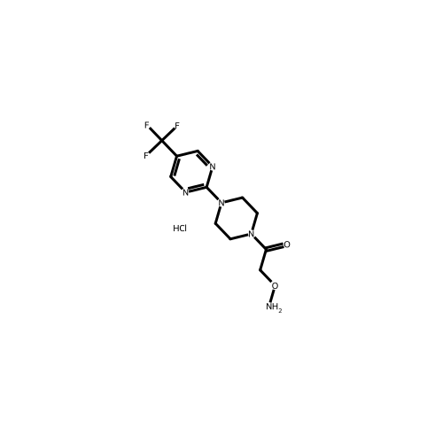 Cl.NOCC(=O)N1CCN(c2ncc(C(F)(F)F)cn2)CC1